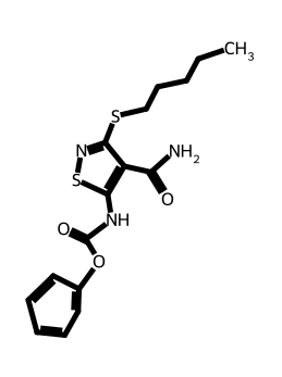 CCCCCSc1nsc(NC(=O)Oc2ccccc2)c1C(N)=O